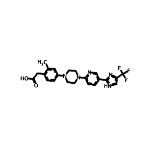 Cc1cc(N2CCN(c3ccc(-c4nc(C(F)(F)F)c[nH]4)cn3)CC2)ccc1CC(=O)O